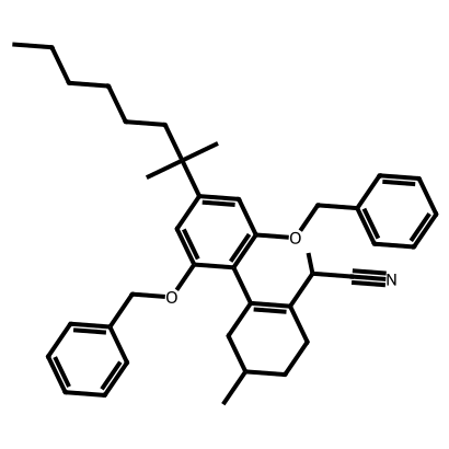 CCCCCCC(C)(C)c1cc(OCc2ccccc2)c(C2=C(C(C)C#N)CCC(C)C2)c(OCc2ccccc2)c1